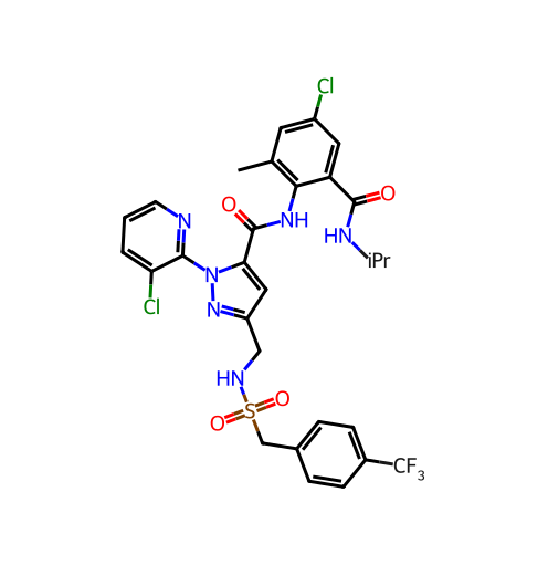 Cc1cc(Cl)cc(C(=O)NC(C)C)c1NC(=O)c1cc(CNS(=O)(=O)Cc2ccc(C(F)(F)F)cc2)nn1-c1ncccc1Cl